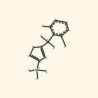 Cc1cccc(C)c1C(C)(C)C1=CC([Si](C)(C)C)=CC1